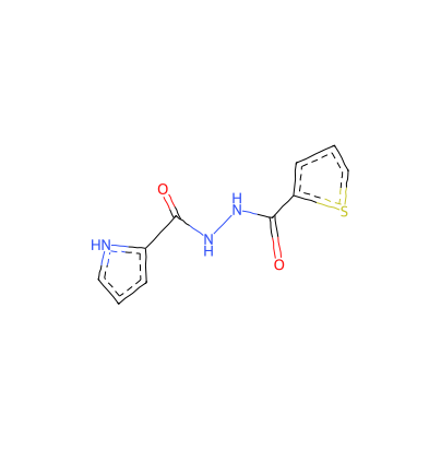 O=C(NNC(=O)c1cccs1)c1ccc[nH]1